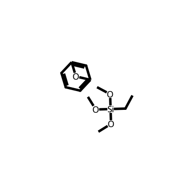 CC[Si](OC)(OC)OC.c1cc2cc(c1)O2